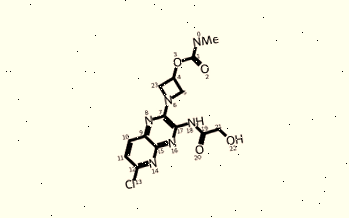 CNC(=O)OC1CN(c2nc3ccc(Cl)nc3nc2NC(=O)CO)C1